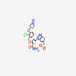 C[C@@H](Oc1cc(-n2cnc3c2C=C(CS(C)(=O)=O)CC3)sc1C(N)=O)c1cccc(OC2CCNCC2)c1Cl